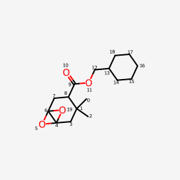 CC1(C)CC23OC2(CC1C(=O)OCC1CCCCC1)O3